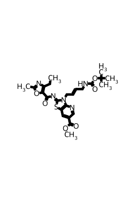 CCc1nc(C)oc1C(=O)/N=c1\sc2cc(C(=O)OC)cnc2n1C/C=C/CNC(=O)OC(C)(C)C